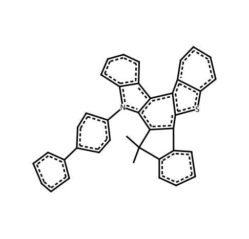 CC1(C)c2ccccc2-c2c1c1c(c3ccccc3n1-c1ccc(-c3ccccc3)cc1)c1c2sc2ccccc21